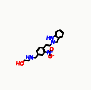 O=[N+]([O-])c1cc(CNCCO)ccc1C=CN1Cc2ccccc2N1